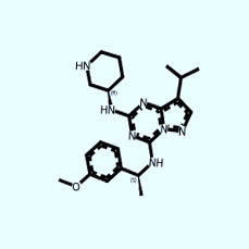 COc1cccc([C@H](C)Nc2nc(N[C@@H]3CCCNC3)nc3c(C(C)C)cnn23)c1